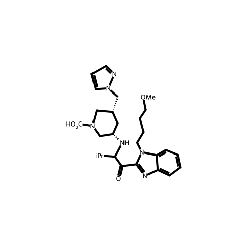 COCCCCn1c(C(=O)C(N[C@H]2C[C@@H](Cn3cccn3)CN(C(=O)O)C2)C(C)C)nc2ccccc21